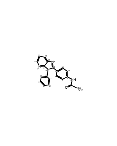 NC(=O)Nc1ccc(-c2nc3cccnc3n2-c2ccccc2)cc1